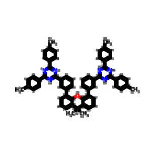 Cc1ccc(-c2nc(-c3ccc(C)cc3)nc(-c3cccc(-c4cccc5c4Oc4c(-c6cccc(-c7nc(-c8ccc(C)cc8)nc(-c8ccc(C)cc8)n7)c6)cccc4C5(C)C)c3)n2)cc1